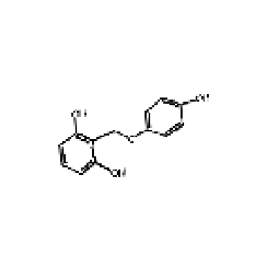 Oc1ccc(OCc2c(O)cccc2O)cc1